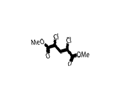 COC(=O)C(Cl)CC(Cl)C(=O)OC